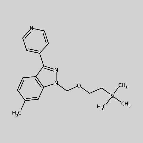 Cc1ccc2c(-c3ccncc3)nn(COCC[Si](C)(C)C)c2c1